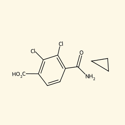 C1CC1.NC(=O)c1ccc(C(=O)O)c(Cl)c1Cl